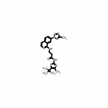 Cc1nnn(-c2ccc3ccnc(NCCC(=O)Nc4nc(C)c(C(C)(C)C)s4)c3c2)n1